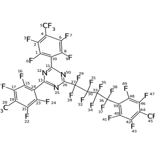 Fc1c(F)c(C(F)(F)F)c(F)c(F)c1-c1nc(-c2c(F)c(F)c(C(F)(F)F)c(F)c2F)nc(C(F)(F)C(F)(F)C(F)(F)C(F)(F)c2c(F)c(F)c(C(F)(F)F)c(F)c2F)n1